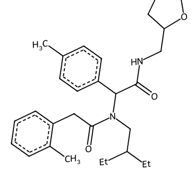 CCC(CC)CN(C(=O)Cc1ccccc1C)C(C(=O)NCC1CCCO1)c1ccc(C)cc1